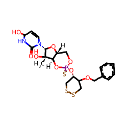 C[C@@]1(O)[C@@H]2OP(=S)(O[C@H]3CSSCC3OCc3ccccc3)OC[C@H]2O[C@H]1N1C=CC(O)NC1=O